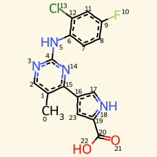 Cc1cnc(Nc2ccc(F)cc2Cl)nc1-c1c[nH]c(C(=O)O)c1